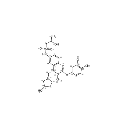 CC(O)CS(=O)(=O)Nc1cccc([C@@H](CN2CC[C@@H](O)C2)N(C)C(=O)Cc2ccc(Cl)c(Cl)c2)c1